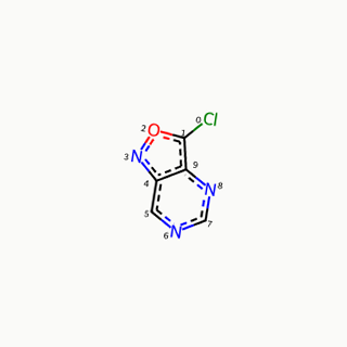 Clc1onc2cncnc12